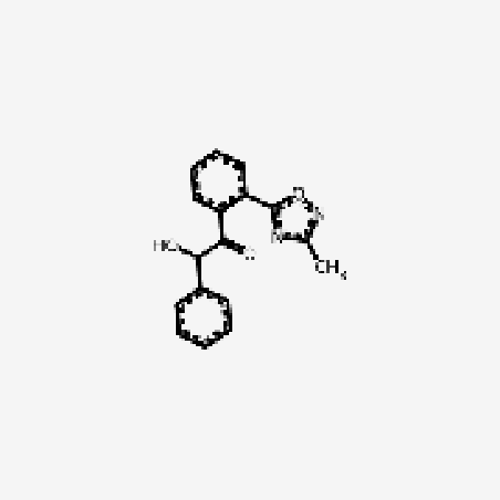 Cc1noc(-c2ccccc2C(=O)C(O)c2ccccc2)n1